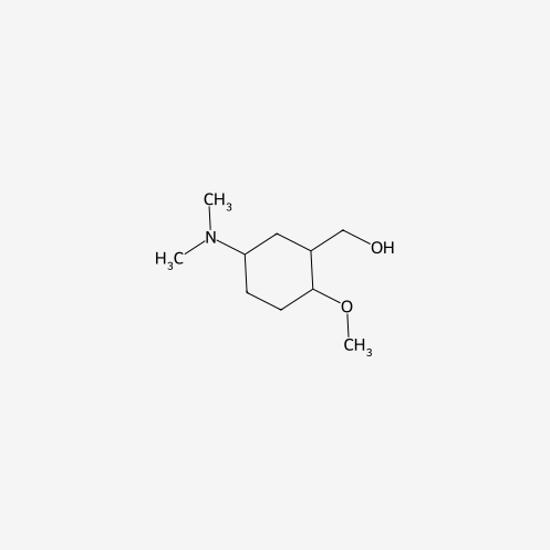 COC1CCC(N(C)C)CC1CO